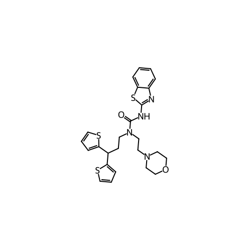 O=C(Nc1nc2ccccc2s1)N(CCC(c1cccs1)c1cccs1)CCN1CCOCC1